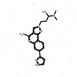 CN(C)C(O)CCn1cc2c(N)nc3cc(-c4cc[nH]n4)ccc3c2n1